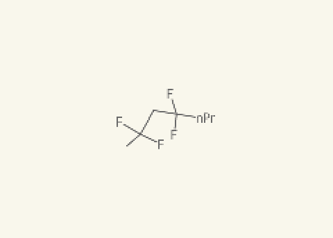 CCCC(F)(F)CC(C)(F)F